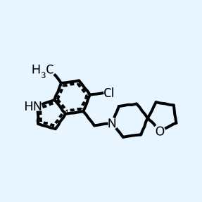 Cc1cc(Cl)c(CN2CCC3(CCCO3)CC2)c2cc[nH]c12